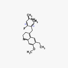 C=C(N)/C=C(F)\C(=C/C)CC1=c2cc(CC)c(OC)cc2=NCC1